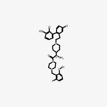 CCOc1cccc(F)c1CN1CCN(C(=O)[C@H](N)C2CCN(CCc3cc(Cl)ccc3-c3cccc(O)c3Cl)CC2)CC1